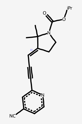 CC(C)OC(=O)N1CC/C(=C\C#Cc2cc(C#N)ccn2)C1(C)C